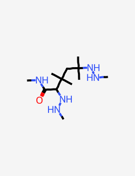 CNNC(C(=O)NC)C(C)(C)CC(C)(C)NNC